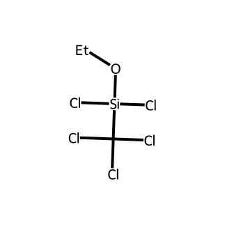 CCO[Si](Cl)(Cl)C(Cl)(Cl)Cl